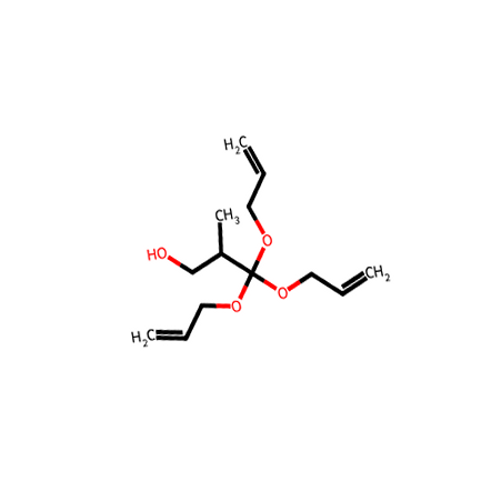 C=CCOC(OCC=C)(OCC=C)C(C)CO